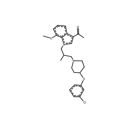 COc1cccc2c(C(C)=O)cn(CC(C)CN3CCC(Oc4cccc(Cl)c4)CC3)c12